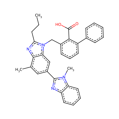 CCCc1nc2c(C)cc(-c3nc4ccccc4n3C)cc2n1Cc1cccc(-c2ccccc2)c1C(=O)O